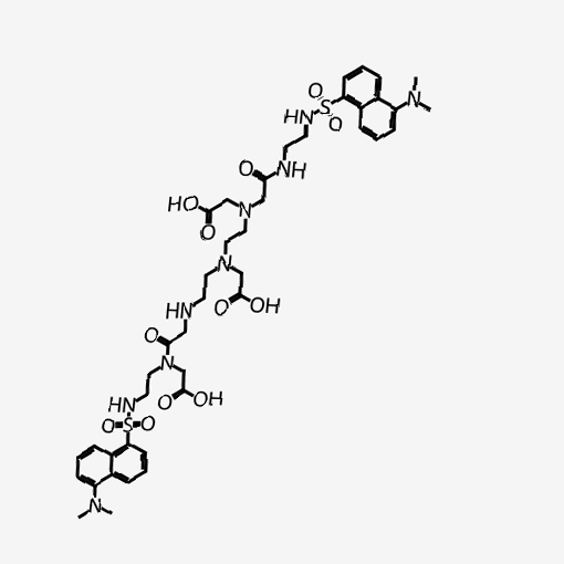 CN(C)c1cccc2c(S(=O)(=O)NCCNC(=O)CN(CCN(CCNCC(=O)N(CCNS(=O)(=O)c3cccc4c(N(C)C)cccc34)CC(=O)O)CC(=O)O)CC(=O)O)cccc12